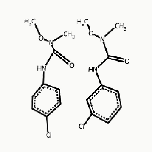 CON(C)C(=O)Nc1ccc(Cl)cc1.CON(C)C(=O)Nc1cccc(Cl)c1